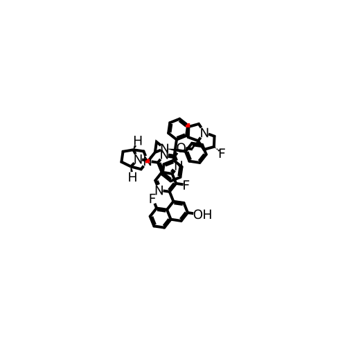 Oc1cc(-c2ncc3c(N4C[C@H]5CC[C@@H](C4)N5CC4C[N@@]4C(c4ccccc4)(c4ccccc4)c4ccccc4)nc(OC[C@@]45CCCN4C[C@H](F)C5)nc3c2F)c2c(F)cccc2c1